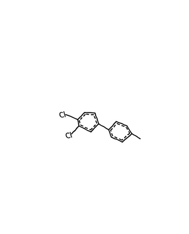 Cc1ccc(-c2ccc(Cl)c(Cl)c2)cc1